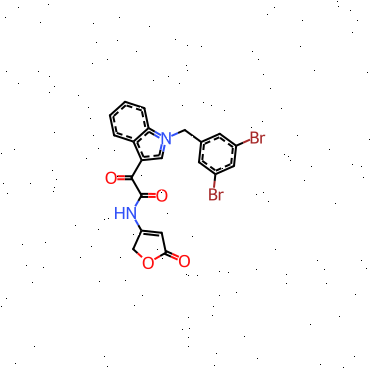 O=C1C=C(NC(=O)C(=O)c2cn(Cc3cc(Br)cc(Br)c3)c3ccccc23)CO1